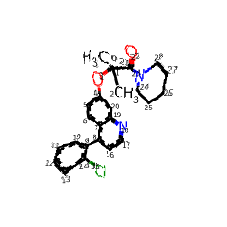 CC(C)(Oc1ccc2c(-c3ccccc3Cl)ccnc2c1)C(=O)N1CCCCC1